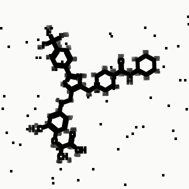 Cc1cc(SCc2sc(-c3ccc(C(F)(F)F)cc3)nc2CN2CCN(C(=O)NC3CCCCC3)CC2)ccc1OC(C)C(=O)O